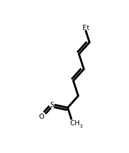 CCC=CC=CCC(C)=S=O